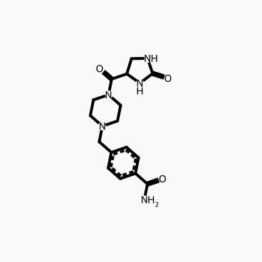 NC(=O)c1ccc(CN2CCN(C(=O)C3CNC(=O)N3)CC2)cc1